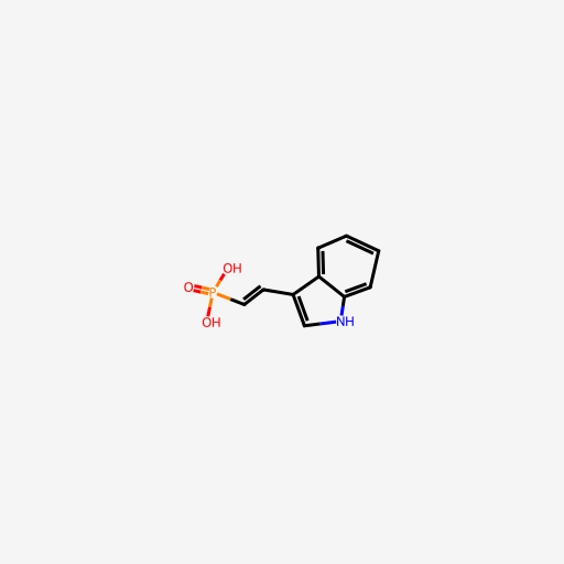 O=P(O)(O)C=Cc1c[nH]c2ccccc12